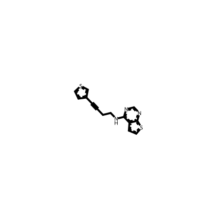 C(#Cc1ccsc1)CCNc1ncnc2sccc12